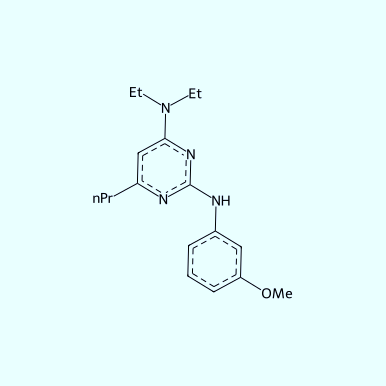 CCCc1cc(N(CC)CC)nc(Nc2cccc(OC)c2)n1